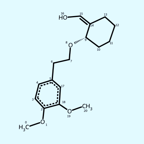 COc1ccc(CCO[C@H]2CCCC/C2=C/O)cc1OC